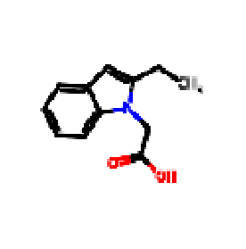 CCc1cc2ccccc2n1CC(=O)O